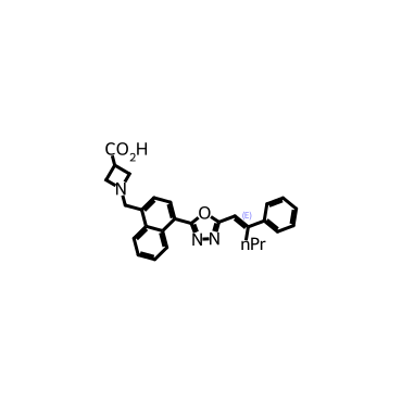 CCC/C(=C\c1nnc(-c2ccc(CN3CC(C(=O)O)C3)c3ccccc23)o1)c1ccccc1